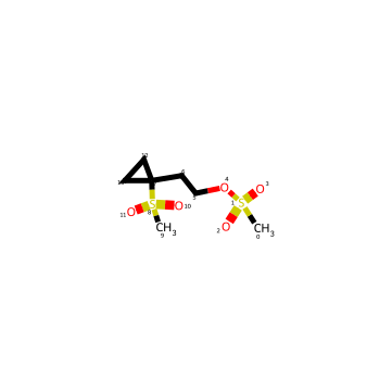 CS(=O)(=O)OCCC1(S(C)(=O)=O)CC1